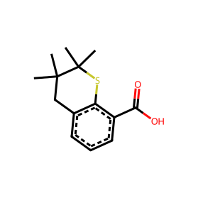 CC1(C)Cc2cccc(C(=O)O)c2SC1(C)C